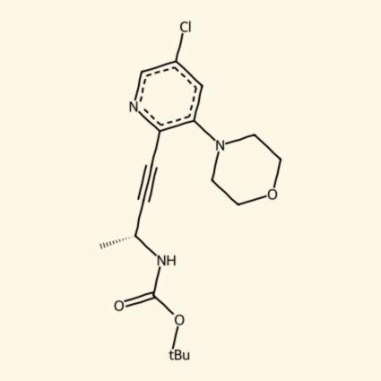 C[C@H](C#Cc1ncc(Cl)cc1N1CCOCC1)NC(=O)OC(C)(C)C